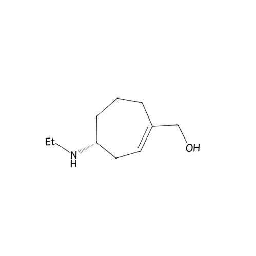 CCN[C@H]1CC=C(CO)CCC1